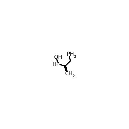 C=C(CP)PO